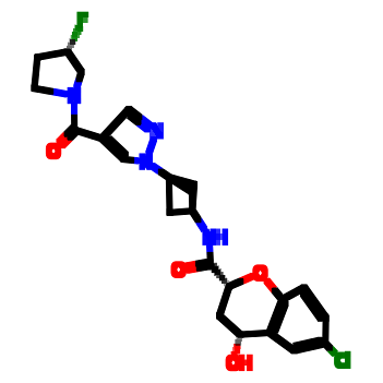 O=C(NC12CC(n3cc(C(=O)N4CC[C@H](F)C4)cn3)(C1)C2)[C@H]1C[C@@H](O)c2cc(Cl)ccc2O1